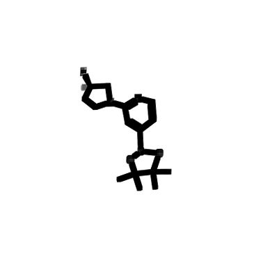 CC1(C)OB(c2ccnc(N3CC[C@@H](F)C3)c2)OC1(C)C